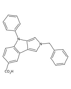 O=C(O)c1ccc2c(c1)c1cn(Cc3ccccc3)cc1n2-c1ccccc1